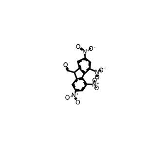 O=CC1c2cc([N+](=O)[O-])cc([N+](=O)[O-])c2-c2c1cc([N+](=O)[O-])cc2[N+](=O)[O-]